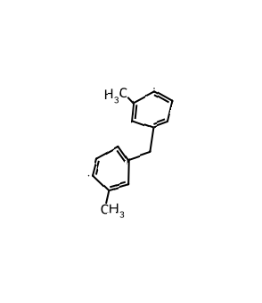 Cc1[c]ccc(Cc2cc[c]c(C)c2)c1